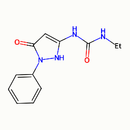 CCNC(=O)Nc1cc(=O)n(-c2ccccc2)[nH]1